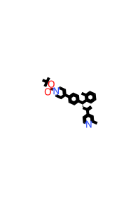 C=C(C[C@H](c1ccc(C2=CCN(C(=O)OC(C)(C)C)CC2)cc1)c1ccccc1C)c1ccnc(C)c1